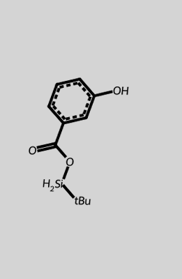 CC(C)(C)[SiH2]OC(=O)c1cccc(O)c1